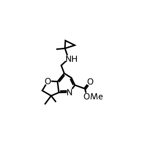 COC(=O)c1cc(CNC2(C)CC2)c2c(n1)C(C)(C)CO2